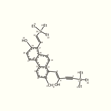 CC[Si](C#C/C(O)=C/c1c(C)ccc2c1ccc1c(/C=C/[Si](CC)(CC)CC)c(O)ccc12)(CC)CC